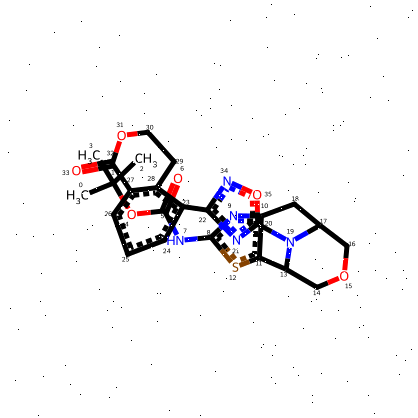 CC(C)(C)OC(=O)Nc1nc2c(s1)C1COCC(C2)N1c1nc(-c2cccc3c2CCOC3=O)no1